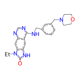 CCn1c(=O)[nH]c2cc3c(NCc4cccc(CN5CCOCC5)c4)ncnc3cc21